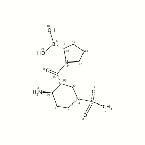 CS(=O)(=O)N1CC[C@@H](N)[C@H](C(=O)N2CCC[C@H]2B(O)O)C1